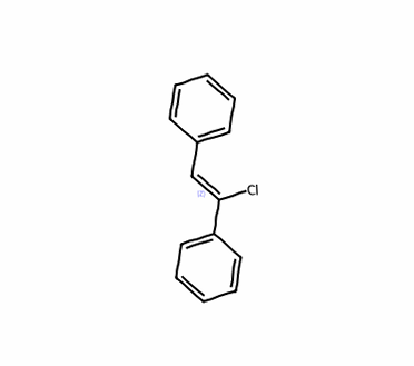 Cl/C(=C\c1ccccc1)c1ccccc1